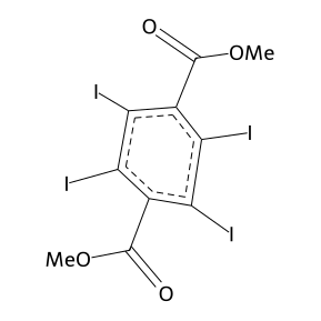 COC(=O)c1c(I)c(I)c(C(=O)OC)c(I)c1I